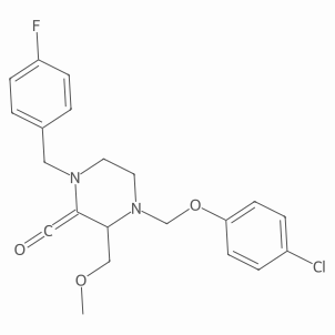 COCC1C(=C=O)N(Cc2ccc(F)cc2)CCN1COc1ccc(Cl)cc1